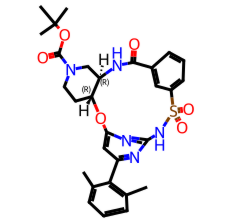 Cc1cccc(C)c1-c1cc2nc(n1)NS(=O)(=O)c1cccc(c1)C(=O)N[C@@H]1CN(C(=O)OC(C)(C)C)CC[C@H]1O2